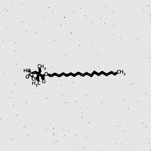 CCCCCCCCCCCCCCCCCCOC(=O)C(CC)(CC)CP(=O)(O)O